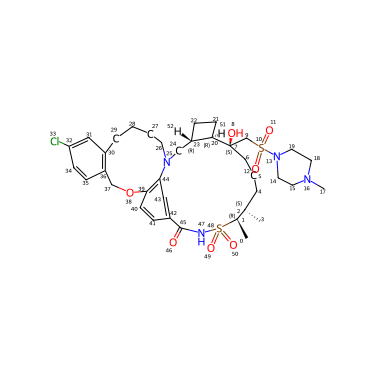 C[C@@H]1[C@@H](C)CCC[C@@](O)(CS(=O)(=O)N2CCN(C)CC2)[C@@H]2CC[C@H]2CN2CCCCc3cc(Cl)ccc3COc3ccc(cc32)C(=O)NS1(=O)=O